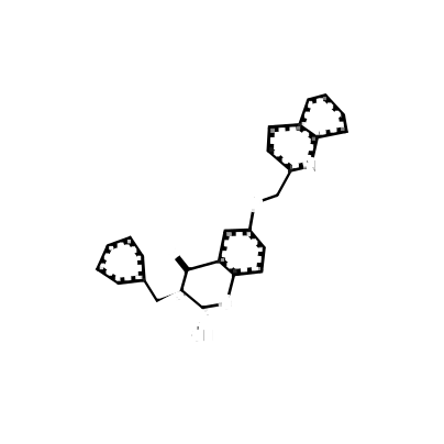 C[C@H]1Oc2ccc(OCc3ccc4ccccc4n3)cc2C(=O)[C@@H]1Cc1ccccc1